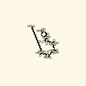 C[C@H](NC(=O)CC[C@@H](NC(=O)CC[C@@H](NC(=O)CC[C@H](NC(=O)CC[C@H](NC(=O)CCCCCCCCCCCCCCCCC(=O)O)C(=O)O)C(=O)O)C(=O)O)C(=O)O)C(=O)CN[C@H]1CSSC[C@@H](C(=O)O)NCC1=O